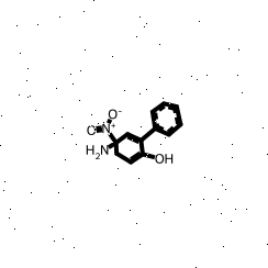 NC1([N+](=O)[O-])C=C(c2ccccc2)C(O)=CC1